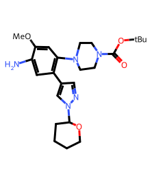 COc1cc(N2CCN(C(=O)OC(C)(C)C)CC2)c(-c2cnn(C3CCCCO3)c2)cc1N